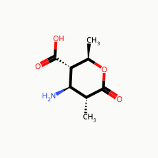 C[C@H]1OC(=O)[C@H](C)[C@@H](N)[C@@H]1C(=O)O